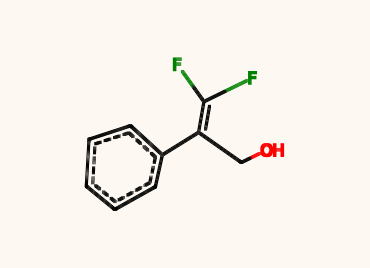 OCC(=C(F)F)c1ccccc1